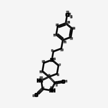 O=C1NC(=O)C2(CCN(CCc3ccc(C(F)(F)F)cc3)CC2)N1